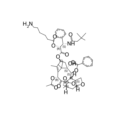 CC(=O)O[C@H]1C(=O)[C@]23C[C@H]2C[C@H]2OC[C@@]2(OC(C)=O)[C@H]3[C@H](OC(=O)c2ccccc2)[C@]2(O)C[C@H](OC(=O)[C@H](OC(=O)CCCCCN)[C@@H](NC(=O)CC(C)(C)C)c3ccccc3)C(C)=C1C2(C)C